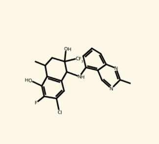 Cc1ncc2c(NC3c4cc(Cl)c(F)c(O)c4C(C)CC3(O)C(F)(F)F)cccc2n1